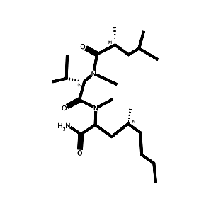 CCCC[C@@H](C)CC(C(N)=O)N(C)C(=O)[C@H](C(C)C)N(C)C(=O)[C@H](C)CC(C)C